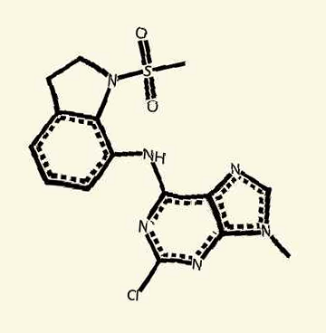 Cn1cnc2c(Nc3cccc4c3N(S(C)(=O)=O)CC4)nc(Cl)nc21